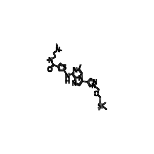 Cc1cn2c(-c3cnn(COCC[Si](C)(C)C)c3)cnc2c(Nc2cc(C(=O)N(C)CCN(C)C)cs2)n1